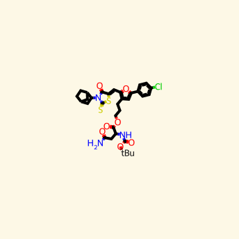 CC(C)(C)OC(=O)NC(CC(N)=O)C(=O)OCCCc1cc(-c2ccc(Cl)cc2)oc1C=C1SC(=S)N(C2CC3CCC2C3)C1=O